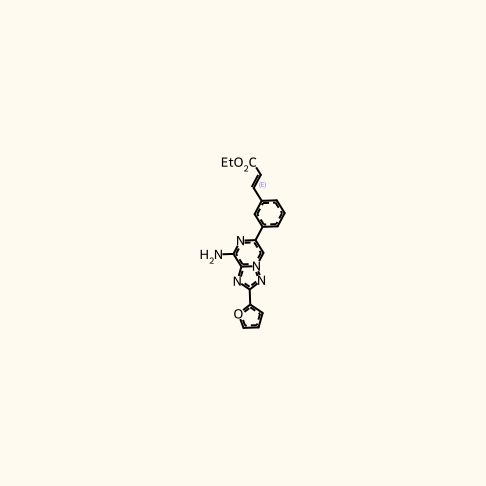 CCOC(=O)/C=C/c1cccc(-c2cn3nc(-c4ccco4)nc3c(N)n2)c1